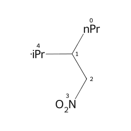 CCCC(C[N+](=O)[O-])[C](C)C